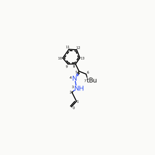 C=CCN/N=C(\CC(C)(C)C)c1ccccc1